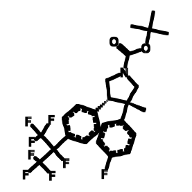 CC(C)(C)OC(=O)N1C[C@@H](c2ccc(C(F)(C(F)(F)F)C(F)(F)F)cc2)[C@@](C)(c2ccc(F)cc2)C1